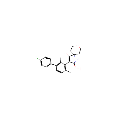 Cc1ccc(-c2ccc(F)cc2)c(C)c1C1=C(O)C2(CCOCC2)NC1O